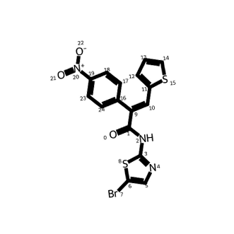 O=C(Nc1ncc(Br)s1)/C(=C/c1cccs1)c1ccc([N+](=O)[O-])cc1